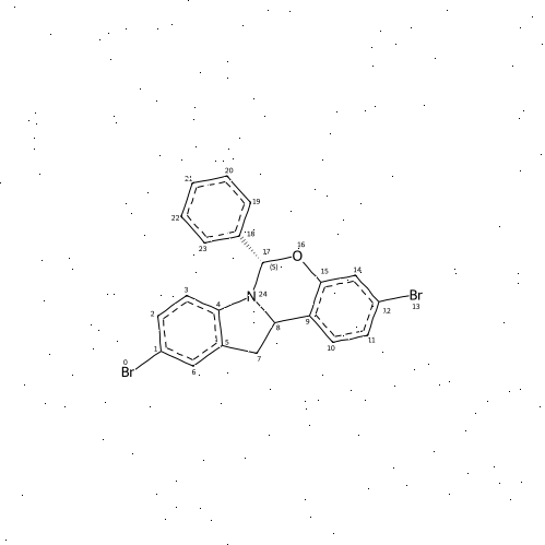 Brc1ccc2c(c1)CC1c3ccc(Br)cc3O[C@@H](c3ccccc3)N21